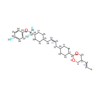 C/C=C/C1COC(C2CCC(C/C=C\CC3CCC(C(F)(F)Oc4ccc(F)cc4)CC3)CC2)OC1